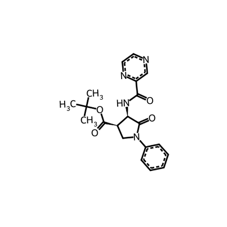 CC(C)(C)OC(=O)[C@@H]1CN(c2ccccc2)C(=O)[C@@H]1NC(=O)c1cnccn1